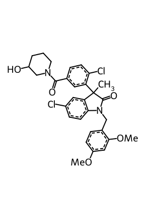 COc1ccc(CN2C(=O)C(C)(c3cc(C(=O)N4CCCC(O)C4)ccc3Cl)c3cc(Cl)ccc32)c(OC)c1